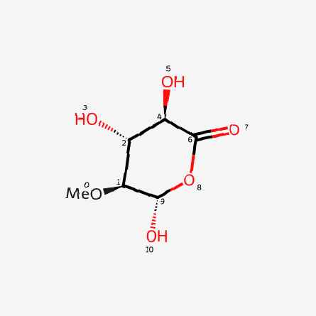 CO[C@H]1[C@H](O)[C@@H](O)C(=O)O[C@@H]1O